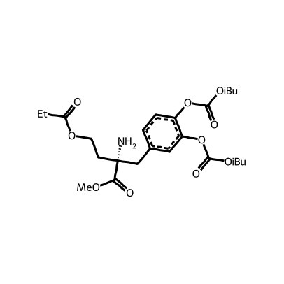 CCC(=O)OCC[C@@](N)(Cc1ccc(OC(=O)OCC(C)C)c(OC(=O)OCC(C)C)c1)C(=O)OC